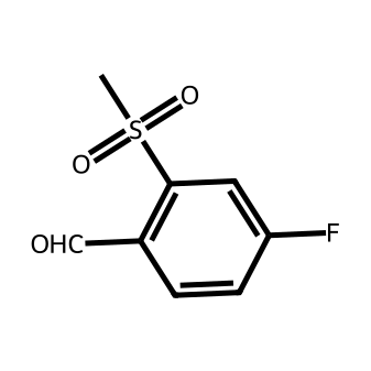 CS(=O)(=O)c1cc(F)ccc1C=O